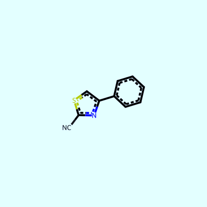 N#Cc1nc(-c2ccccc2)cs1